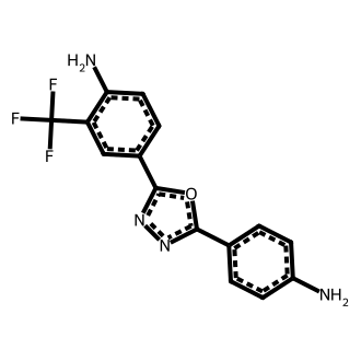 Nc1ccc(-c2nnc(-c3ccc(N)c(C(F)(F)F)c3)o2)cc1